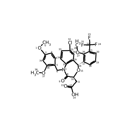 COc1ccc(CN2C(=O)[C@H](CC(=O)O)O[C@@H](c3cccc(C(F)(F)F)c3OC)c3cc(Cl)ccc32)c(OC)c1